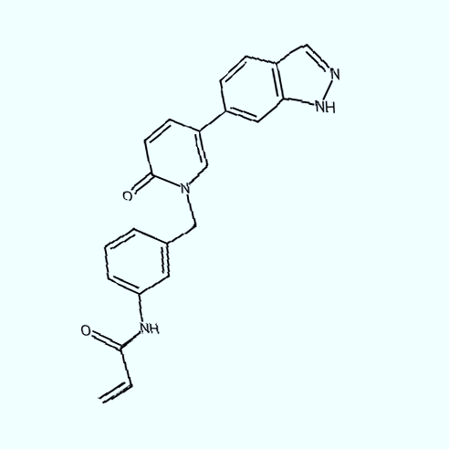 C=CC(=O)Nc1cccc(Cn2cc(-c3ccc4cn[nH]c4c3)ccc2=O)c1